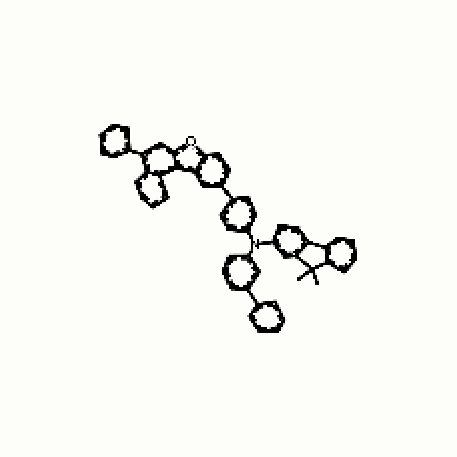 CC1(C)c2ccccc2-c2ccc(N(c3ccc(-c4ccc5oc6cc(-c7ccccc7)c7ccccc7c6c5c4)cc3)c3cccc(-c4ccccc4)c3)cc21